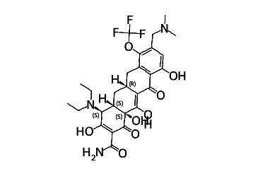 CCN(CC)[C@@H]1C(O)=C(C(N)=O)C(=O)[C@@]2(O)C(O)=C3C(=O)c4c(O)cc(CN(C)C)c(OC(F)(F)F)c4C[C@H]3C[C@@H]12